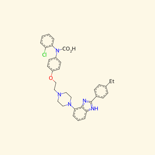 CCc1ccc(-c2nc3c(N4CCN(CCOc5ccc(N(C(=O)O)c6ccccc6Cl)cc5)CC4)cccc3[nH]2)cc1